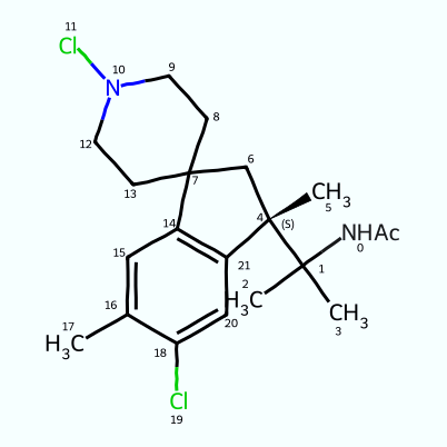 CC(=O)NC(C)(C)[C@@]1(C)CC2(CCN(Cl)CC2)c2cc(C)c(Cl)cc21